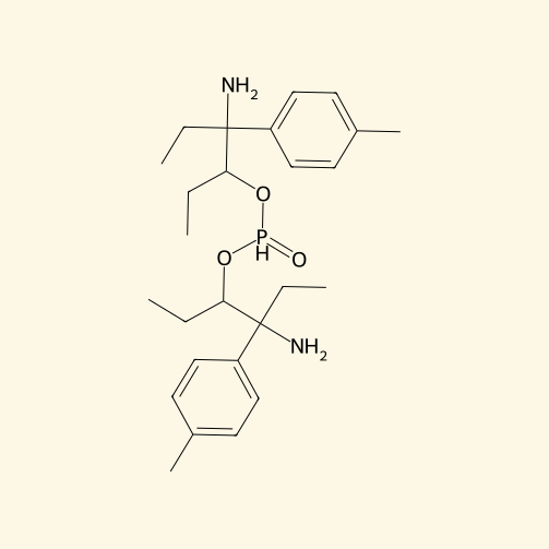 CCC(O[PH](=O)OC(CC)C(N)(CC)c1ccc(C)cc1)C(N)(CC)c1ccc(C)cc1